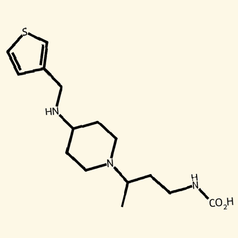 CC(CCNC(=O)O)N1CCC(NCc2ccsc2)CC1